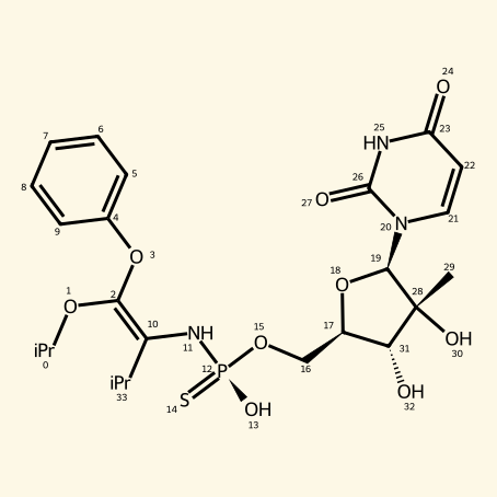 CC(C)OC(Oc1ccccc1)=C(N[P@@](O)(=S)OC[C@H]1O[C@@H](n2ccc(=O)[nH]c2=O)[C@](C)(O)[C@@H]1O)C(C)C